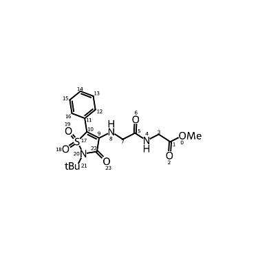 COC(=O)CNC(=O)CNC1=C(c2ccccc2)S(=O)(=O)N(C(C)(C)C)C1=O